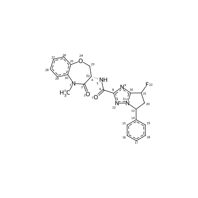 CN1C(=O)[C@@H](NC(=O)c2nc3n(n2)C(c2ccccc2)CC3F)COc2ccccc21